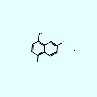 CC(C)c1ccc(Cl)c2ccc(Cl)cc12